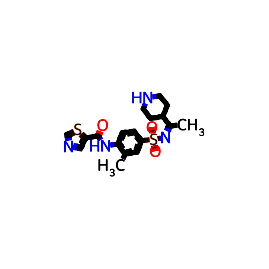 C/C(=N/S(=O)(=O)c1ccc(NC(=O)c2cncs2)c(C)c1)C1CCNCC1